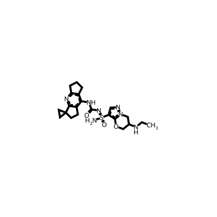 CCNC1COc2c(S(N)(=O)=NC(=O)Nc3c4c(nc5c3CCC53CC3)CCC4)cnn2C1